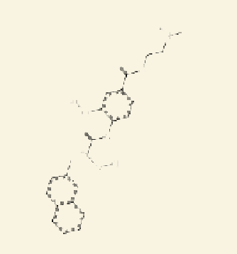 CCCCOc1cc(C(=O)OCCN(CC)CC)ccc1NC(=O)[C@@H](Cc1ccc2ccccc2c1)NCl